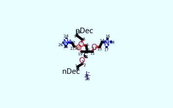 CCCCCCCCCCCCOCC(COCCCCCCCCCCCC)(COCC[N+](C)(C)C)COCC[N+](C)(C)C.[I-].[I-]